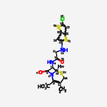 CC1=C(C(=O)O)N2C(=O)C(NC(=O)CNc3cc4sc(Cl)cc4s3)[C@H]2SC1